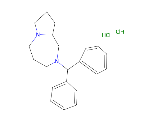 Cl.Cl.c1ccc(C(c2ccccc2)N2CCCN3CCCC3C2)cc1